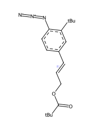 CC(C)(C)C(=O)OC/C=C/c1ccc(N=[N+]=[N-])c(C(C)(C)C)c1